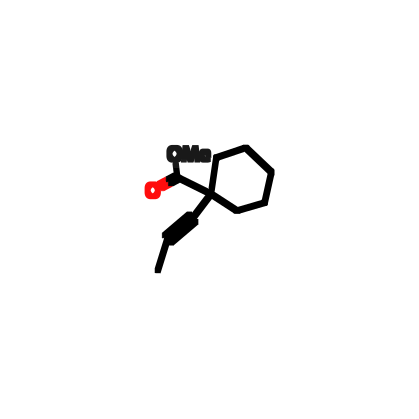 CC#CC1(C(=O)OC)CCCCC1